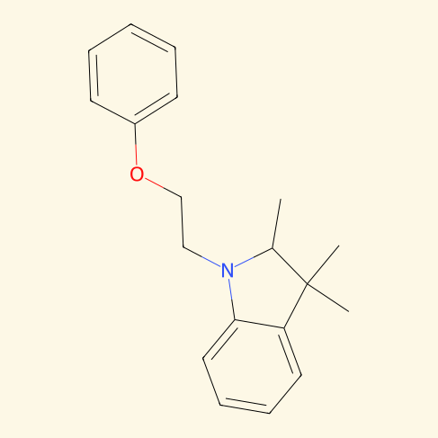 CC1N(CCOc2ccccc2)c2ccccc2C1(C)C